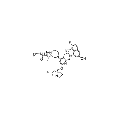 CCc1c(F)ccc2cc(O)cc(N3CCc4c(nc(OC[C@@]56CCCN5C[C@H](F)C6)nc4N4CCCn5nc(C(=O)NC6CC6)c(C)c5C4)C3)c12